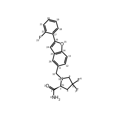 NC(=O)[C@@H]1CC(F)(F)CN1Cc1ccc2oc(-c3ccccc3F)cc2c1